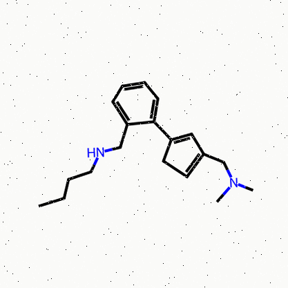 CCCCNCc1ccccc1C1=CC(CN(C)C)=CC1